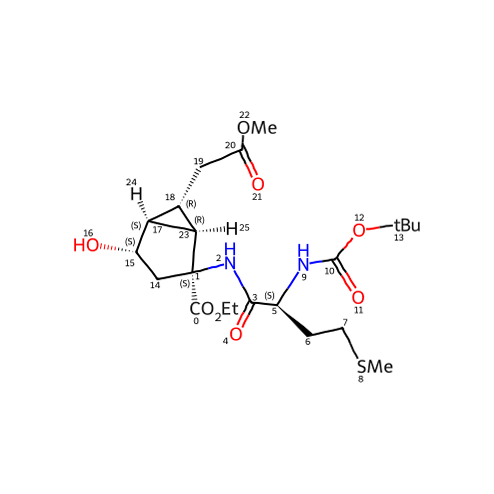 CCOC(=O)[C@]1(NC(=O)[C@H](CCSC)NC(=O)OC(C)(C)C)C[C@H](O)[C@H]2[C@H](CC(=O)OC)[C@H]21